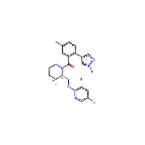 Cc1ccc(-c2cnn(C)c2)c(C(=O)N2CCC[C@@H](C)[C@H]2CNc2ncc(Cl)cc2F)c1